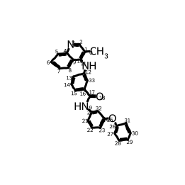 Cc1cnc2ccccc2c1Nc1cccc(C(=O)Nc2cccc(Oc3ccccc3)c2)c1